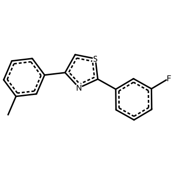 Cc1cccc(-c2csc(-c3cccc(F)c3)n2)c1